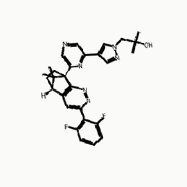 CC(C)(O)Cn1cc(-c2cncc([C@@]34CC[C@@H](c5cc(-c6c(F)cccc6F)nnc53)C4(C)C)n2)cn1